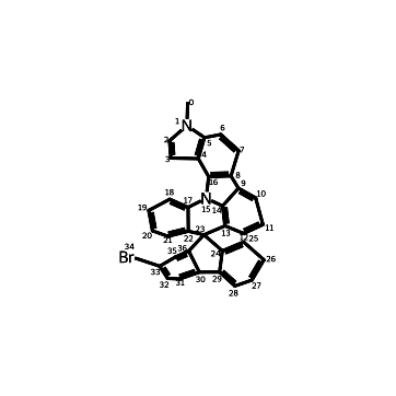 Cn1ccc2c1ccc1c3cccc4c3n(c12)-c1ccccc1C41c2ccccc2-c2ccc(Br)cc21